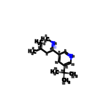 C=C(C)C/C(=N\C)c1cncc(C(C)(C)C)c1